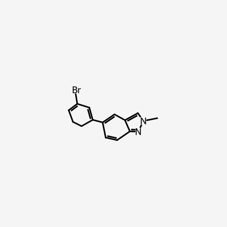 Cn1cc2cc(C3=CC(Br)=CCC3)ccc2n1